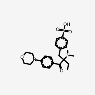 CCC(Cc1ccc(S(=O)(=O)O)cc1)(C(=O)c1ccc(N2CCOCC2)cc1)N(C)C